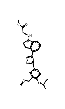 C=NCc1cc(-c2ncc(-c3cccc4c3CC[C@@H]4NCC(=O)OC)s2)ccc1OC(C)C